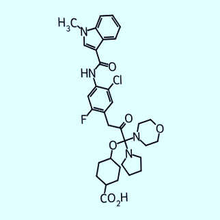 Cn1cc(C(=O)Nc2cc(F)c(CC(=O)C(OC3CCC(C(=O)O)CC3)(N3CCCC3)N3CCOCC3)cc2Cl)c2ccccc21